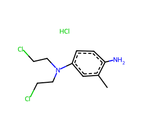 Cc1cc(N(CCCl)CCCl)ccc1N.Cl